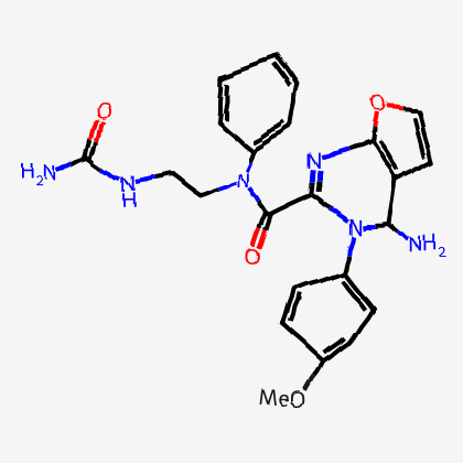 COc1ccc(N2C(C(=O)N(CCNC(N)=O)c3ccccc3)=Nc3occc3C2N)cc1